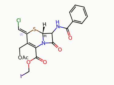 CC(=O)OCC1=C(C(=O)OCI)N2C(=O)C(NC(=O)c3ccccc3)[C@H]2S/C1=C\Cl